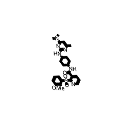 COc1ccccc1S(=O)(=O)c1ncccc1C(=O)NC1CCC(Nc2nc(C)cc(N(C)C)n2)CC1